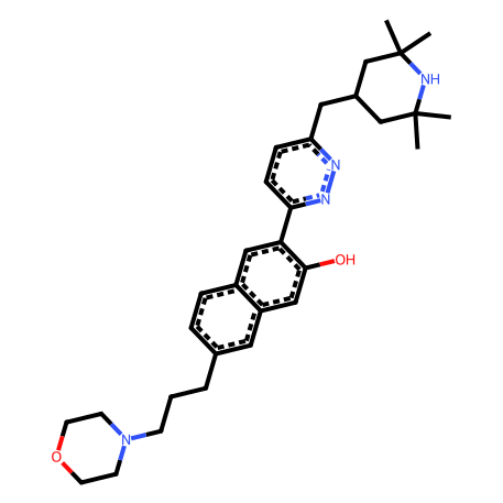 CC1(C)CC(Cc2ccc(-c3cc4ccc(CCCN5CCOCC5)cc4cc3O)nn2)CC(C)(C)N1